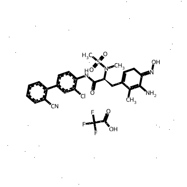 CC1=C(N)C(=NO)CC=C1C[C@@H](C(=O)Nc1ccc(-c2ccccc2C#N)cc1Cl)N(C)S(C)(=O)=O.O=C(O)C(F)(F)F